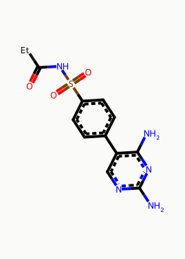 CCC(=O)NS(=O)(=O)c1ccc(-c2cnc(N)nc2N)cc1